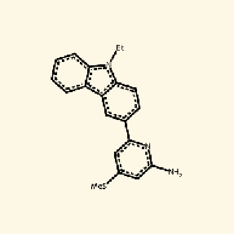 CCn1c2ccccc2c2cc(-c3cc(SC)cc(N)n3)ccc21